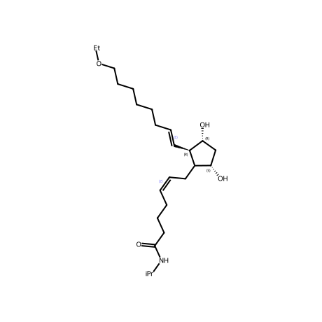 CCOCCCCCC/C=C/[C@@H]1C(C/C=C\CCCC(=O)NC(C)C)[C@@H](O)C[C@H]1O